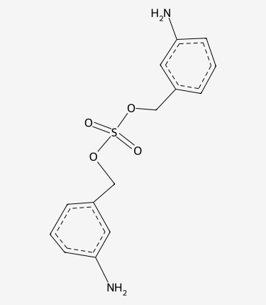 Nc1cccc(COS(=O)(=O)OCc2cccc(N)c2)c1